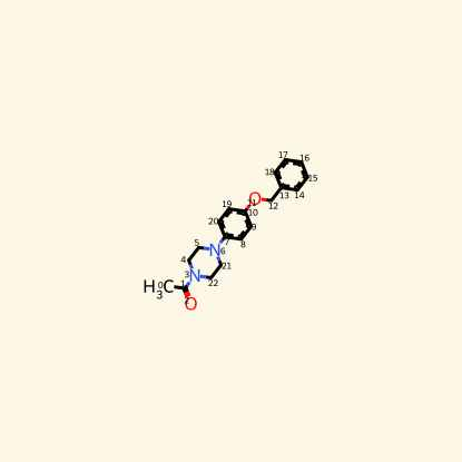 CC(=O)N1CCN(c2ccc(OCc3ccccc3)cc2)CC1